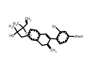 C=CC(C)(C)C(C)(S)Cc1ccc2c(c1)CC(=C)C(c1ccc(CCCCC)cc1CC)=C2